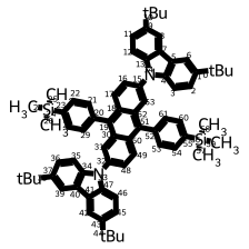 CC(C)(C)c1ccc2c(c1)c1cc(C(C)(C)C)ccc1n2-c1ccc2c(-c3ccc([Si](C)(C)C)cc3)c3cc(-n4c5ccc(C(C)(C)C)cc5c5cc(C(C)(C)C)ccc54)ccc3c(-c3ccc([Si](C)(C)C)cc3)c2c1